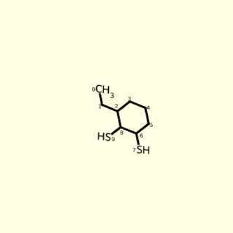 CCC1CCCC(S)C1S